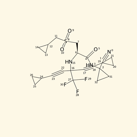 N#CC1(NC(=O)[C@H](CS(=O)(=O)CC2CC2)NC(C#CC2CC2)(C#CC2CC2)C(F)(F)F)CC1